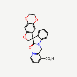 O=C(O)c1cccnc1CN1C(=O)C2(COc3cc4c(cc32)OCCO4)c2ccccc21